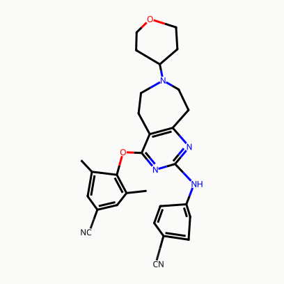 Cc1cc(C#N)cc(C)c1Oc1nc(Nc2ccc(C#N)cc2)nc2c1CCN(C1CCOCC1)CC2